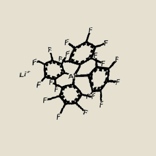 Fc1c(F)c(F)[c]([Al-]([c]2c(F)c(F)c(F)c(F)c2F)([c]2c(F)c(F)c(F)c(F)c2F)[c]2c(F)c(F)c(F)c(F)c2F)c(F)c1F.[Li+]